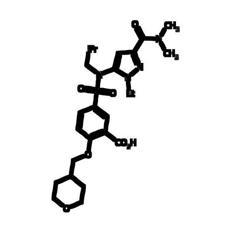 CCn1nc(C(=O)N(C)C)cc1N(CC(C)C)S(=O)(=O)c1ccc(OCC2CCOCC2)c(C(=O)O)c1